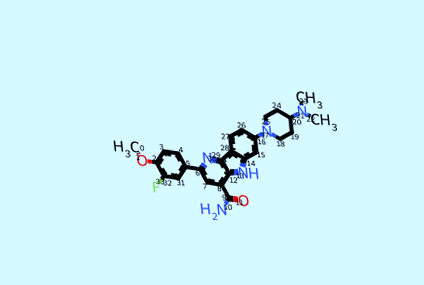 COc1ccc(-c2cc(C(N)=O)c3[nH]c4cc(N5CCC(N(C)C)CC5)ccc4c3n2)cc1F